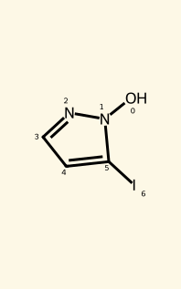 On1nccc1I